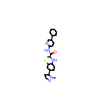 CC(Nc1ccc(-c2ccnn2C)cc1F)C(=O)Nc1ccc(-c2ccccc2)cn1